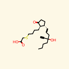 C#CC(O)(CC=C[C@H]1CCC(=O)[C@@H]1CCCCSCC(=O)O)CCCC